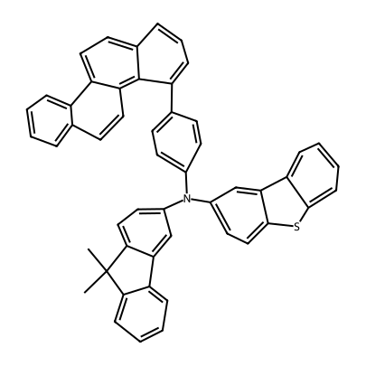 CC1(C)c2ccccc2-c2cc(N(c3ccc(-c4cccc5ccc6c7ccccc7ccc6c45)cc3)c3ccc4sc5ccccc5c4c3)ccc21